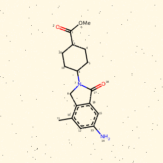 COC(=O)C1CCC(N2Cc3c(C)cc(N)cc3C2=O)CC1